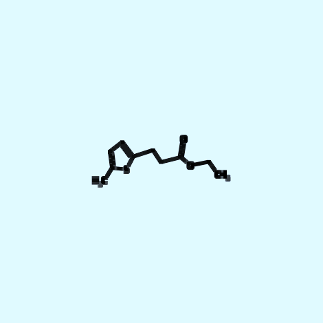 CCOC(=O)CCc1ccc(C)s1